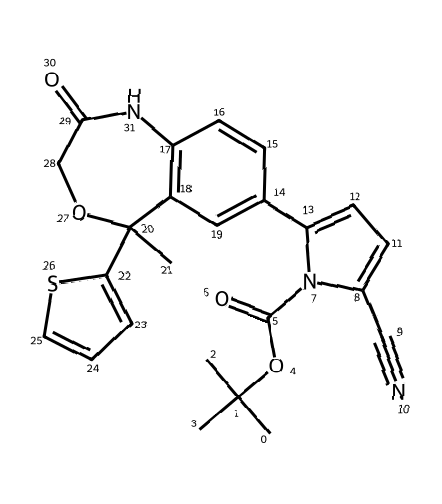 CC(C)(C)OC(=O)n1c(C#N)ccc1-c1ccc2c(c1)C(C)(c1cccs1)OCC(=O)N2